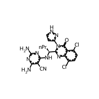 CCC[C@H](Nc1nc(N)nc(N)c1C#N)c1nc2c(Cl)ccc(Cl)c2c(=O)n1-c1cc[nH]n1